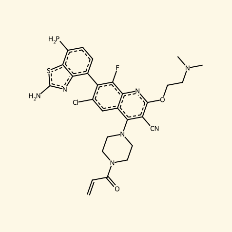 C=CC(=O)N1CCN(c2c(C#N)c(OCCN(C)C)nc3c(F)c(-c4ccc(P)c5sc(N)nc45)c(Cl)cc23)CC1